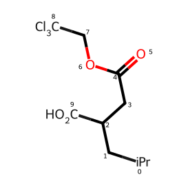 CC(C)CC(CC(=O)OCC(Cl)(Cl)Cl)C(=O)O